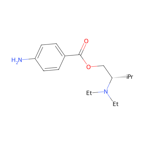 CCN(CC)[C@H](COC(=O)c1ccc(N)cc1)C(C)C